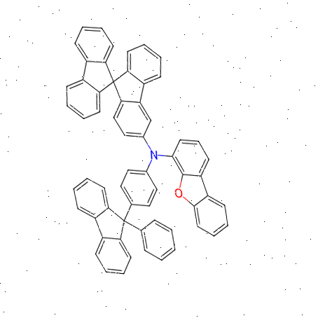 c1ccc(C2(c3ccc(N(c4ccc5c(c4)-c4ccccc4C54c5ccccc5-c5ccccc54)c4cccc5c4oc4ccccc45)cc3)c3ccccc3-c3ccccc32)cc1